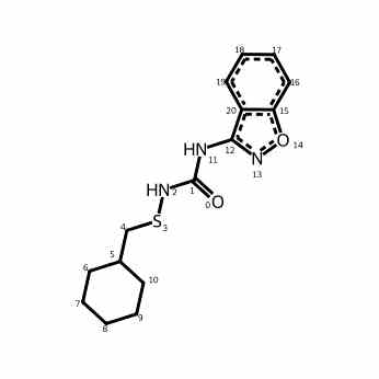 O=C(NSCC1CCCCC1)Nc1noc2ccccc12